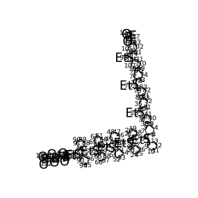 CC[S+](c1ccccc1)c1ccccc1.CC[S+](c1ccccc1)c1ccccc1.CC[S+](c1ccccc1)c1ccccc1.CC[S+](c1ccccc1)c1ccccc1.CC[S+](c1ccccc1)c1ccccc1.CC[S+](c1ccccc1)c1ccccc1.CC[S+](c1ccccc1)c1ccccc1.CC[S+](c1ccccc1)c1ccccc1.[O-]B([O-])F.[O-]B([O-])F.[O-]B([O-])F.[O-]B([O-])F